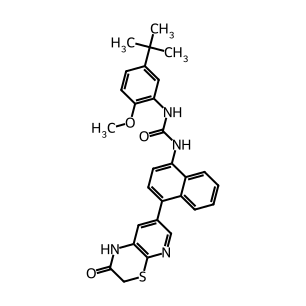 COc1ccc(C(C)(C)C)cc1NC(=O)Nc1ccc(-c2cnc3c(c2)NC(=O)CS3)c2ccccc12